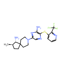 C[C@@H]1CCC2(CCN(c3cnc(Sc4cccnc4C(F)(F)F)c(N)n3)CC2)[C@H]1N